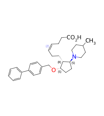 CC1CCN([C@H]2CC[C@H](OCc3ccc(-c4ccccc4)cc3)[C@@H]2CC/C=C\CCC(=O)O)CC1